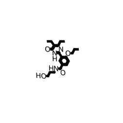 CCCOc1ccc(C(=O)NCCCO)cc1-c1nc(CC)c(CC)c(=O)[nH]1